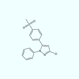 CS(=O)(=O)c1ccc(-c2cc(Cl)nn2-c2ccccc2)cc1